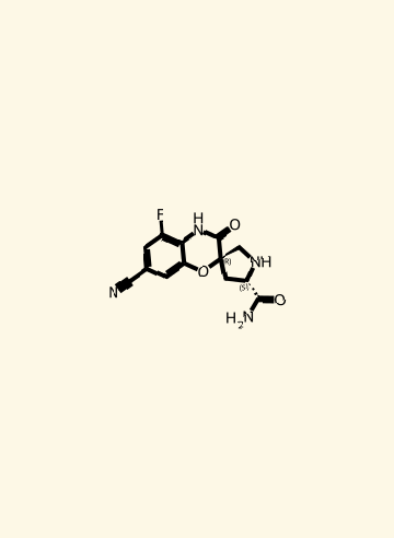 N#Cc1cc(F)c2c(c1)O[C@]1(CN[C@H](C(N)=O)C1)C(=O)N2